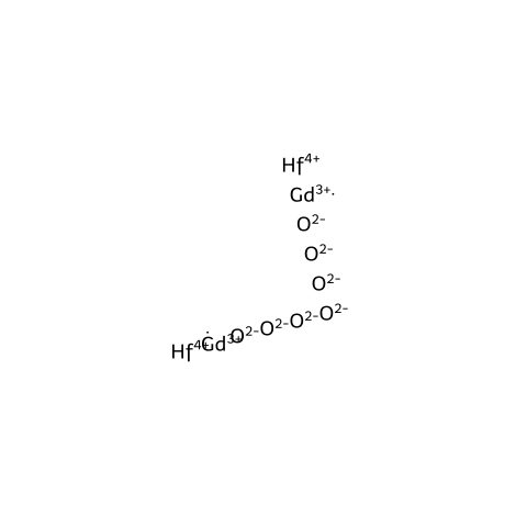 [Gd+3].[Gd+3].[Hf+4].[Hf+4].[O-2].[O-2].[O-2].[O-2].[O-2].[O-2].[O-2]